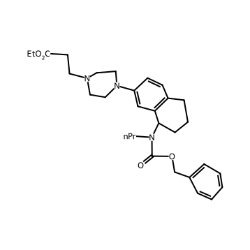 CCCN(C(=O)OCc1ccccc1)C1CCCc2ccc(N3CCN(CCC(=O)OCC)CC3)cc21